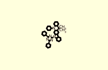 CC1(C)c2ccccc2N(c2ccccc2)c2cc3c(cc21)c1ccccc1n3-c1nc(-c2ccccc2)nc(-c2ccccc2)n1